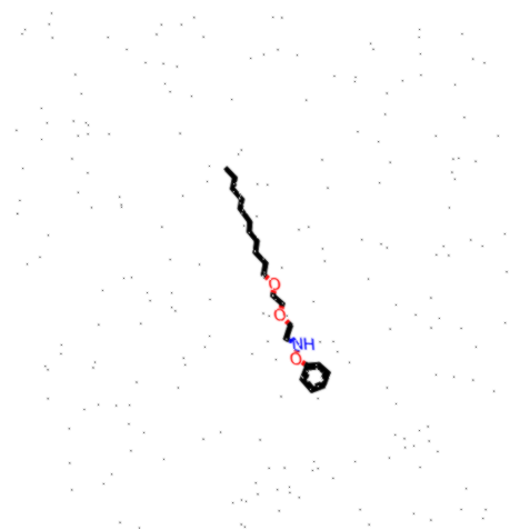 CCCCCCCCCCCOCCOCCNOc1ccccc1